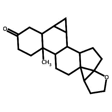 CC12CCC(=O)CC1C1CC1C1C2CCC23C1CCC21OCCC13